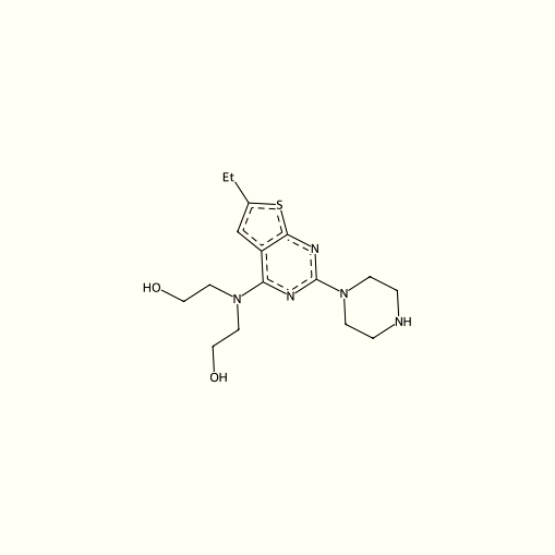 CCc1cc2c(N(CCO)CCO)nc(N3CCNCC3)nc2s1